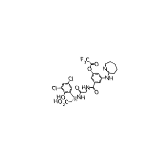 O=C(O)C[C@@H](NC(=O)CNC(=O)c1cc(NC2=NCCCCC2)cc(OC(=O)C(F)(F)F)c1)c1cc(Cl)cc(Cl)c1O